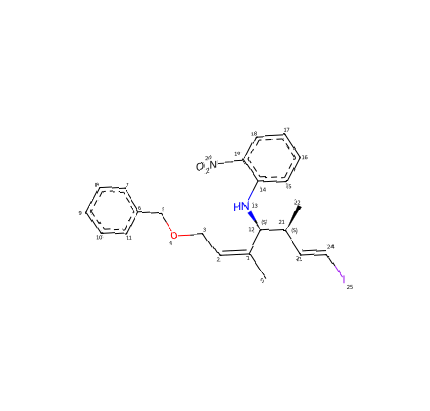 CC(=CCOCc1ccccc1)[C@@H](Nc1ccccc1[N+](=O)[O-])[C@@H](C)C=CI